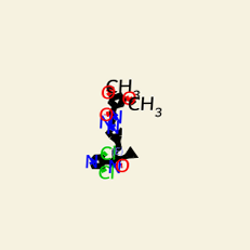 COc1cc(OC)cc(-c2nc(N3CC4C(/C=C/c5c(-c6c(Cl)cncc6Cl)noc5C5CC5)C4C3)no2)c1